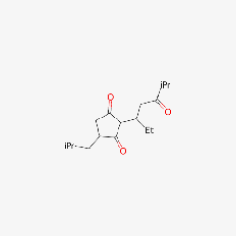 CCC(CC(=O)C(C)C)C1C(=O)CC(CC(C)C)C1=O